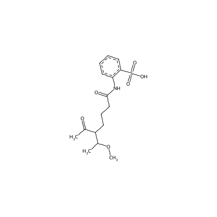 COC(C)C(CCCC(=O)Nc1ccccc1S(=O)(=O)O)C(C)=O